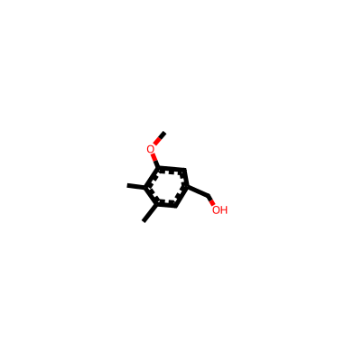 COc1cc(CO)cc(C)c1C